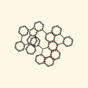 c1ccc(-c2ccccc2-c2cccc(N(c3ccccc3-c3ccccc3)c3ccccc3-c3cccc(N(c4ccc(-c5cccc6oc7cc8ccccc8cc7c56)cc4)c4ccccc4-c4ccccc4)c3)c2)cc1